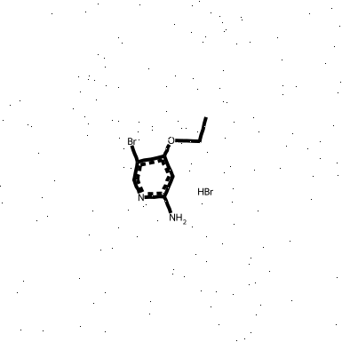 Br.CCOc1cc(N)ncc1Br